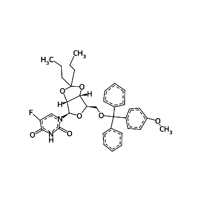 CCCC1(CCC)O[C@@H]2[C@H](O1)[C@@H](COC(c1ccccc1)(c1ccccc1)c1ccc(OC)cc1)O[C@H]2n1cc(F)c(=O)[nH]c1=O